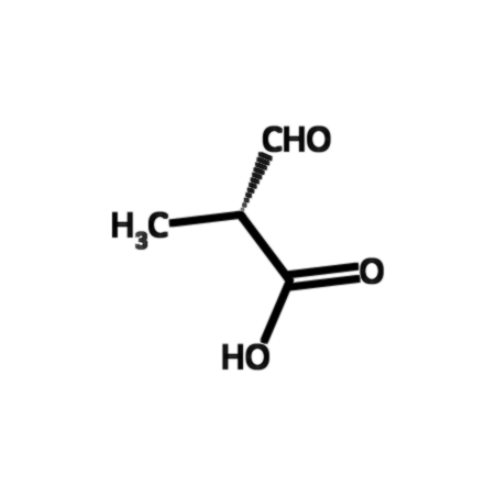 C[C@H](C=O)C(=O)O